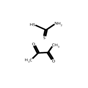 CC(=O)C(C)=O.NC(=S)S